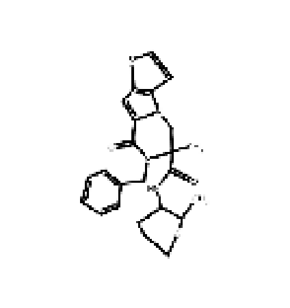 CC1CCCCC1NC(=O)C1(C)Cn2c(cc3sccc32)C(=O)N1Cc1ccccc1